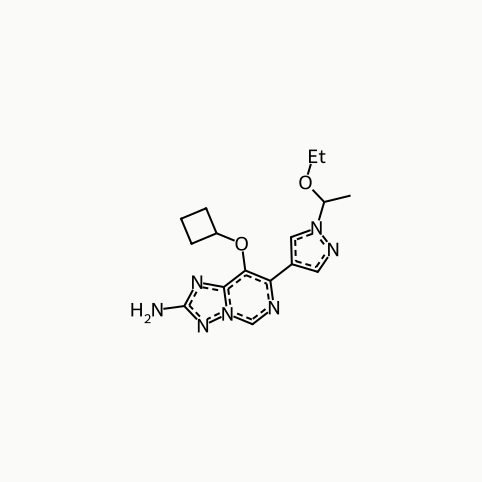 CCOC(C)n1cc(-c2ncn3nc(N)nc3c2OC2CCC2)cn1